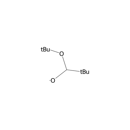 CC(C)(C)OC([O])C(C)(C)C